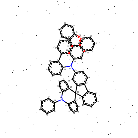 c1ccc(-c2cccc(-c3ccccc3N(c3ccc4c(c3)C3(c5ccccc5-4)c4ccccc4N(c4ccccc4)c4ccccc43)c3ccc4oc5ccccc5c4c3)c2)cc1